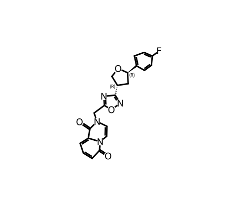 O=c1c2cccc(=O)n2ccn1Cc1nc([C@@H]2CO[C@@H](c3ccc(F)cc3)C2)no1